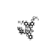 CCOc1ccc(CC(NC(=O)c2ccc(C)cc2)C(=O)NC(Cc2ccccc2)C(=O)NCC23CCC(CN)(CC2)CC3)cc1